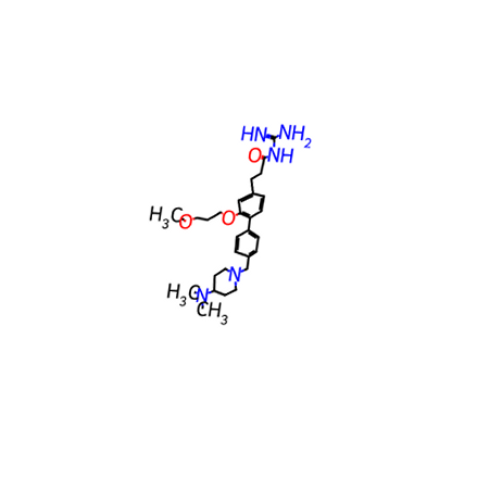 COCCCOc1cc(CCC(=O)NC(=N)N)ccc1-c1ccc(CN2CCC(N(C)C)CC2)cc1